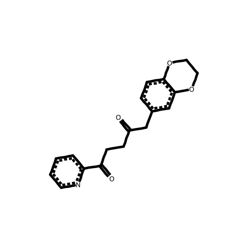 O=C(CCC(=O)c1ccccn1)Cc1ccc2c(c1)OCCO2